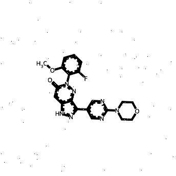 COc1cccc(F)c1-n1nc2c(-c3cnc(N4CCOCC4)nc3)n[nH]c2cc1=O